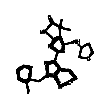 CC1(C)C(=O)Nc2nc(-c3nn(Cc4ccccc4F)c4ncccc34)nc(N[C@@H]3CCOC3)c21